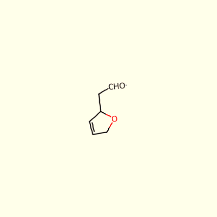 O=[C]CC1C=CCO1